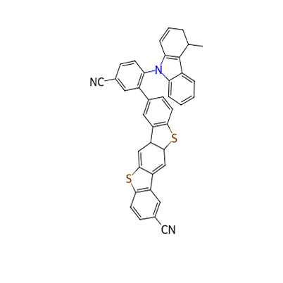 CC1CC=Cc2c1c1ccccc1n2-c1ccc(C#N)cc1-c1ccc2c(c1)C1C=c3sc4ccc(C#N)cc4c3=CC1S2